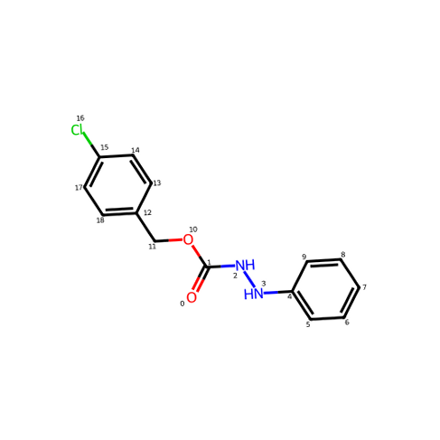 O=C(NNc1ccccc1)OCc1ccc(Cl)cc1